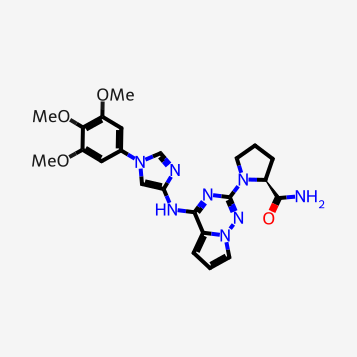 COc1cc(-n2cnc(Nc3nc(N4CCC[C@H]4C(N)=O)nn4cccc34)c2)cc(OC)c1OC